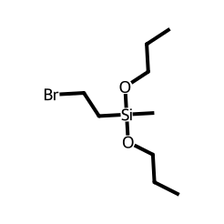 CCCO[Si](C)(CCBr)OCCC